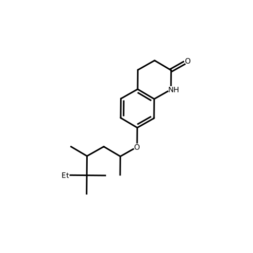 CCC(C)(C)C(C)CC(C)Oc1ccc2c(c1)NC(=O)CC2